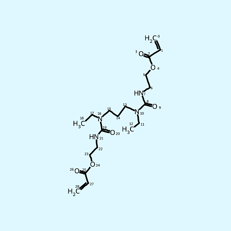 C=CC(=O)OCCNC(=O)N(CC)CCCN(CC)C(=O)NCCOC(=O)C=C